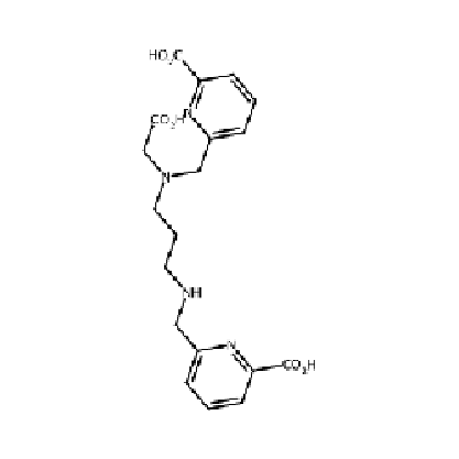 O=C(O)CN(CCCNCc1cccc(C(=O)O)n1)Cc1cccc(C(=O)O)n1